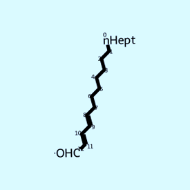 CCCCCCCCCCCCCCC=CC=C[C]=O